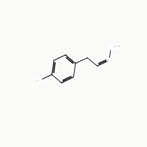 CO/N=C\Cc1ccc(O)cc1